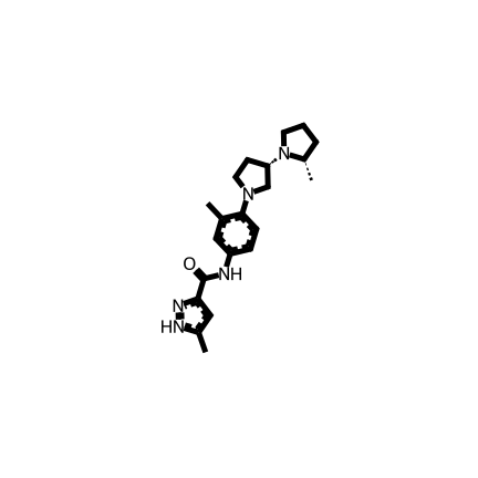 Cc1cc(C(=O)Nc2ccc(N3CC[C@H](N4CCC[C@@H]4C)C3)c(C)c2)n[nH]1